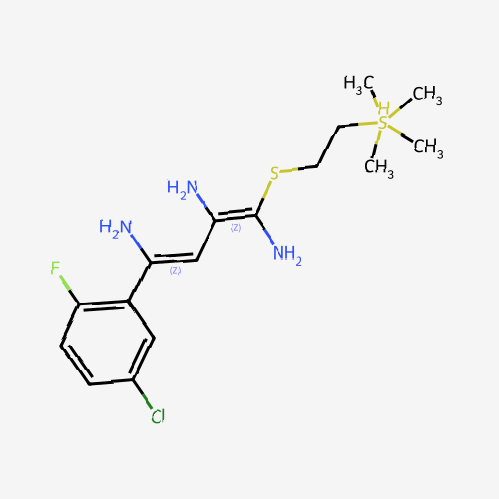 C[SH](C)(C)(C)CCS/C(N)=C(N)/C=C(\N)c1cc(Cl)ccc1F